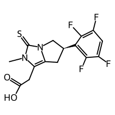 Cn1c(CC(=O)O)c2n(c1=S)C[C@@H](c1c(F)c(F)cc(F)c1F)C2